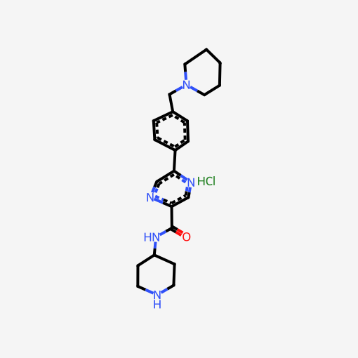 Cl.O=C(NC1CCNCC1)c1cnc(-c2ccc(CN3CCCCC3)cc2)cn1